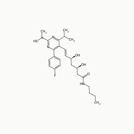 CCCCNC(=O)C[C@H](O)C[C@H](O)/C=C/c1c(-c2ccc(F)cc2)nc(N(C)S)nc1C(C)C